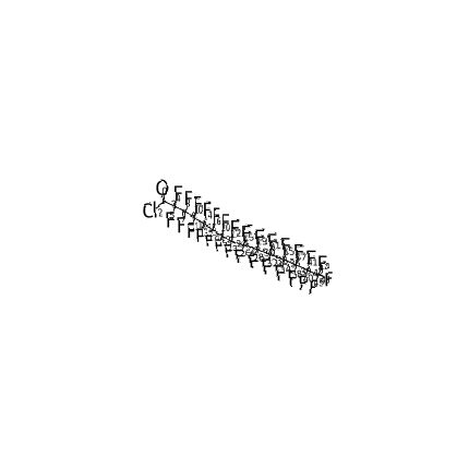 O=C(Cl)C(F)(F)C(F)(F)C(F)(F)C(F)(F)C(F)(F)C(F)(F)C(F)(F)C(F)(F)C(F)(F)C(F)(F)C(F)(F)C(F)(F)C(F)(F)C(F)(F)F